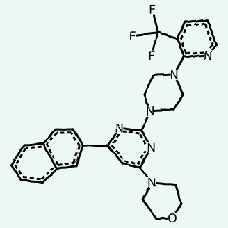 FC(F)(F)c1cccnc1N1CCN(c2nc(-c3ccc4ccccc4c3)cc(N3CCOCC3)n2)CC1